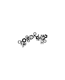 Cc1c(C(=O)N2CCN(S(=O)(=O)c3ccc(Cl)c(C(F)(F)F)c3)CC2)cnn1-c1nn2cccc2c(=O)[nH]1